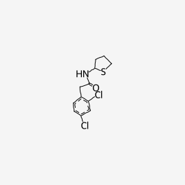 O=C(Cc1ccc(Cl)cc1Cl)NC1CCCS1